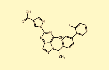 C[C@@H](c1ccc(-c2ccccc2F)cc1)n1ncc2nc(-n3cc(C(=O)O)cn3)nc(O)c21